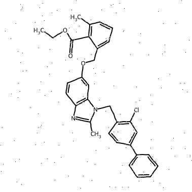 CCOC(=O)c1c(C)cccc1COc1ccc2nc(C)n(Cc3ccc(-c4ccccc4)cc3Cl)c2c1